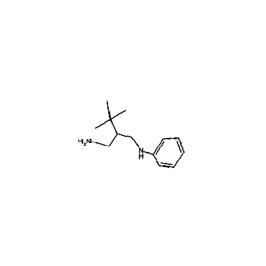 CC(C)(C)C(CN)CNc1ccccc1